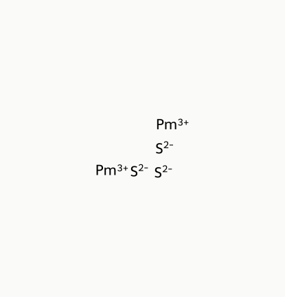 [Pm+3].[Pm+3].[S-2].[S-2].[S-2]